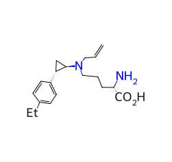 C=CCN(CCC[C@H](N)C(=O)O)[C@@H]1C[C@H]1c1ccc(CC)cc1